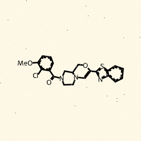 COc1cccc(C(=O)N2CCN3C=C(c4nc5ccccc5s4)OCC3C2)c1Cl